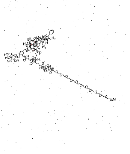 CC[C@H](C)[C@@H]([C@@H](CC(=O)N1CCC[C@H]1[C@H](OC)[C@@H](C)C(=O)N[C@H](C)[C@@H](O)c1ccccc1)OC)N(C)C(=O)[C@@H](NC(=O)[C@H](C(C)C)N(C)C(=O)OCc1ccc(O[C@@H]2O[C@H](C(=O)O)[C@@H](O)[C@H](O)[C@H]2O)c(CNC(=O)CCNC(=O)[C@H](CCCC(=O)N[C@H]2CO[C@H]3[C@@H]2OC[C@@H]3NC(=O)CCOCCOCCOCCOCCOCCOCCOCCOCCOCCOCCOCCOC)NC(=O)CCN2C(=O)C=CC2=O)c1)C(C)C